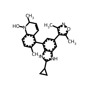 Cc1ccc2c(c1-c1cc(-c3c(C)noc3C)cc3[nH]c(C4CC4)nc13)C=CC(C)N2O